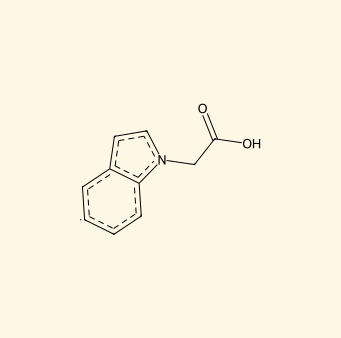 O=C(O)Cn1ccc2c[c]ccc21